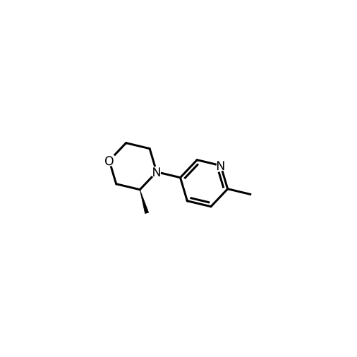 Cc1ccc(N2CCOC[C@@H]2C)cn1